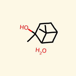 CC1(O)CCC2CC1C2(C)C.O